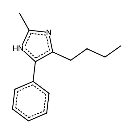 CCCCc1nc(C)[nH]c1-c1ccccc1